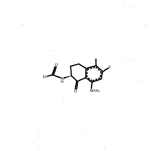 CCC(=O)N[C@H]1CCc2c(C)c(F)cc(NC(C)=O)c2C1=O